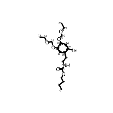 CCCCOC(=O)NCCc1cc(OCOCC)c(OCOCC)cc1I